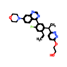 C=Cc1cc(F)c(-c2ncnc3cc(N4CCOCC4)ccc23)cc1C(C)c1ccc(OCCO)nn1